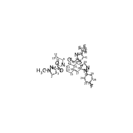 Cn1ccc(S(=O)(=O)N(CC2CC2)[C@H]2CCC3=Cc4c(cnn4-c4ccc(F)cc4)C[C@]3(C(=O)c3nc(C(F)(F)F)cs3)C2)n1